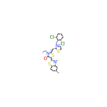 CCn1c(=O)/c(=C2\Sc3ccc(C)cc3N2C)s/c1=C\c1scc[n+]1Cc1c(Cl)cccc1Cl